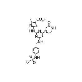 Cc1nc(Nc2nc(NCc3ccc(NS(=O)(=O)C4CC4)cc3)cc(N3CCNC(=O)C3)n2)sc1C(=O)O